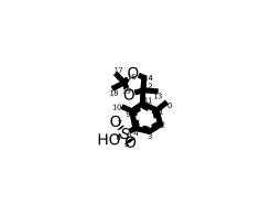 Cc1ccc(S(=O)(=O)O)c(C)c1C1(C)COC(C)(C)O1